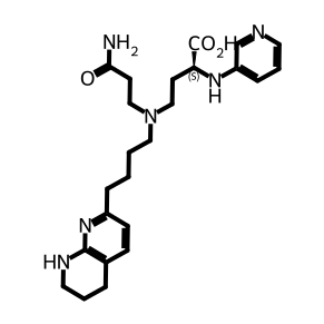 NC(=O)CCN(CCCCc1ccc2c(n1)NCCC2)CC[C@H](Nc1cccnc1)C(=O)O